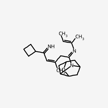 CC=C(C)/N=C(\C/C(C)=C\C(=N)C1CCC1)N1C2CC3CC1C(C2)O3